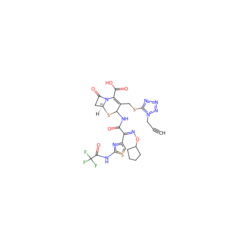 C#CCn1nnnc1SCC1=C(C(=O)O)N2C(=O)C[C@@H]2SC1NC(=O)C(=NOC1CCCC1)c1csc(NC(=O)C(F)(F)F)n1